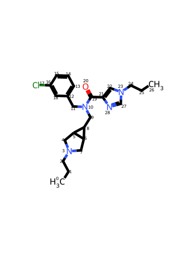 CCCN1CC2C(C1)C2CN(Cc1cccc(Cl)c1)C(=O)c1cn(CCC)cn1